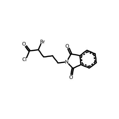 O=C(Cl)C(Br)CCCN1C(=O)c2ccccc2C1=O